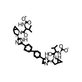 COC(=O)NC(C(=O)N1C2CC2C[C@H]1c1ncc(-c2ccc(-c3ccc(-c4cnc([C@@H]5CC6CC6N5C(=O)C(NC(=O)OC)C(C)C)[nH]4)cc3)cc2)[nH]1)C(C)C